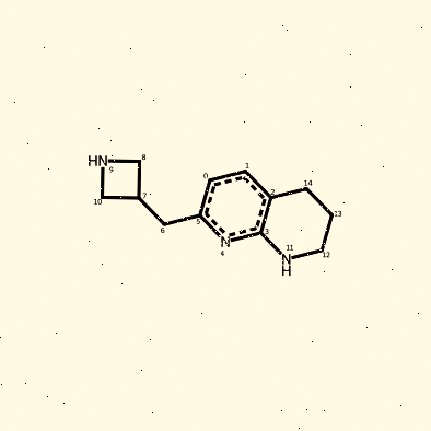 c1cc2c(nc1CC1CNC1)NCCC2